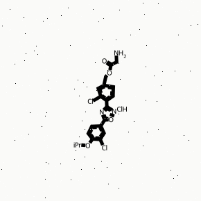 CC(C)Oc1ccc(-c2nc(-c3ccc(COC(=O)CN)cc3Cl)no2)cc1Cl.Cl